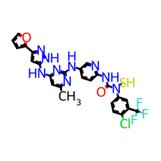 Cc1cc(Nc2cc(-c3ccco3)n[nH]2)nc(Nc2ccc(NC(=O)N(S)c3ccc(Cl)c(C(F)(F)F)c3)nc2)n1